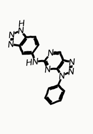 c1ccc(-n2nnc3cnc(Nc4ccc5[nH]nnc5c4)nc32)cc1